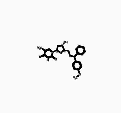 COc1ccc(C(OC[C@H]2O[C@@H](n3cc(C)c(=O)[nH]c3=O)C[C@@H]2O)c2ccccc2)cc1